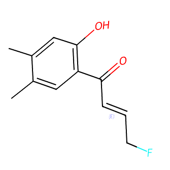 Cc1cc(O)c(C(=O)/C=C/CF)cc1C